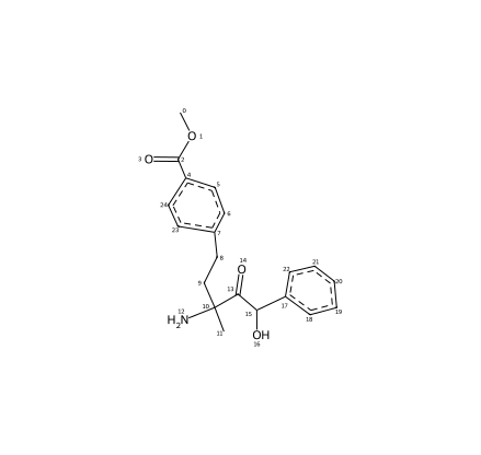 COC(=O)c1ccc(CCC(C)(N)C(=O)C(O)c2ccccc2)cc1